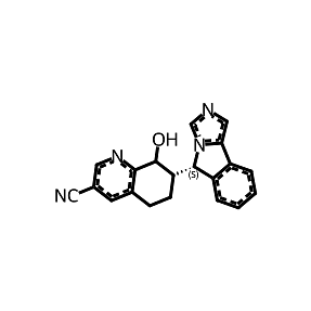 N#Cc1cnc2c(c1)CCC([C@H]1c3ccccc3-c3cncn31)C2O